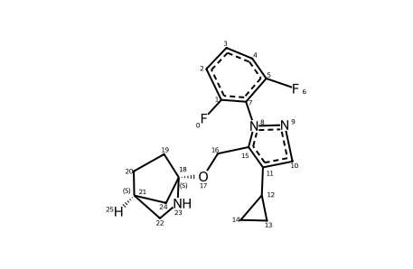 Fc1cccc(F)c1-n1ncc(C2CC2)c1CO[C@]12CC[C@H](CN1)C2